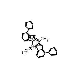 CCC1=Cc2c(-c3ccccc3)cccc2[CH]1[Hf+2]1([CH]2C(CC)=Cc3c(-c4ccccc4)cccc32)[CH2][CH2]1.[Cl-].[Cl-]